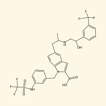 CC(Cc1ccc2c(c1)cc(C(=O)O)n2Cc1cccc(NS(=O)(=O)C(F)(F)F)c1)NCC(O)c1cccc(C(F)(F)F)c1